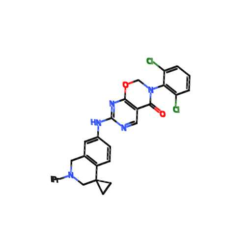 CC(C)N1Cc2cc(Nc3ncc4c(n3)OCN(c3c(Cl)cccc3Cl)C4=O)ccc2C2(CC2)C1